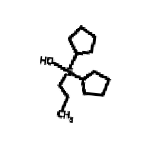 CCC[Si](O)(C1CCCC1)C1CCCC1